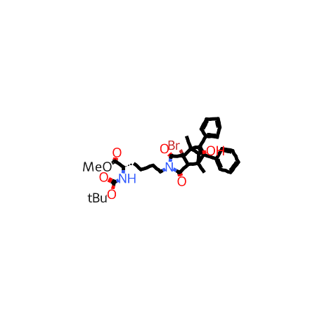 COC(=O)[C@H](CCCCN1C(=O)C2C3(C)C(c4ccccc4)=C(c4ccccc4)C(C)(C3O)C2(Br)C1=O)NC(=O)OC(C)(C)C